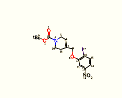 CC(C)(C)OC(=O)N1CC=C(COc2cc([N+](=O)[O-])ccc2I)CC1